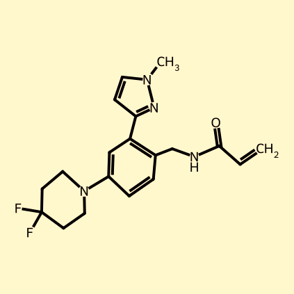 C=CC(=O)NCc1ccc(N2CCC(F)(F)CC2)cc1-c1ccn(C)n1